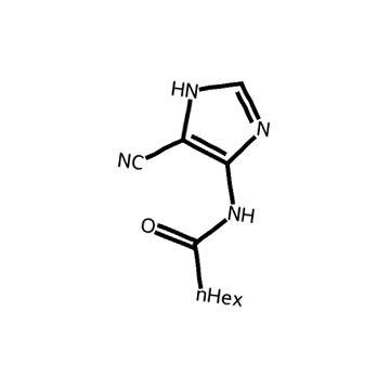 CCCCCCC(=O)Nc1nc[nH]c1C#N